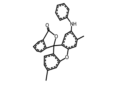 Cc1ccc2c(c1)Oc1cc(C)c(Nc3ccccc3)cc1C21OC(=O)c2ccccc21